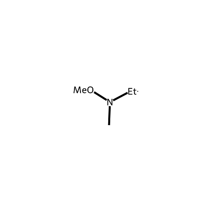 C[CH]N(C)OC